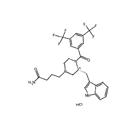 Cl.NC(=O)CCCN1CCN(C(=O)c2cc(C(F)(F)F)cc(C(F)(F)F)c2)[C@H](Cc2c[nH]c3ccccc23)C1